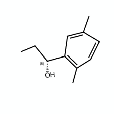 CC[C@@H](O)c1cc(C)ccc1C